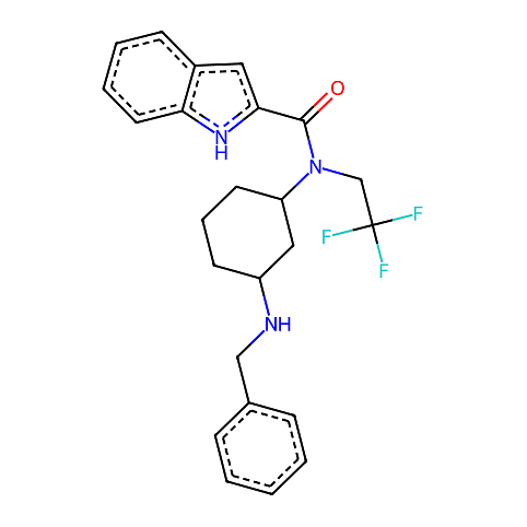 O=C(c1cc2ccccc2[nH]1)N(CC(F)(F)F)C1CCCC(NCc2ccccc2)C1